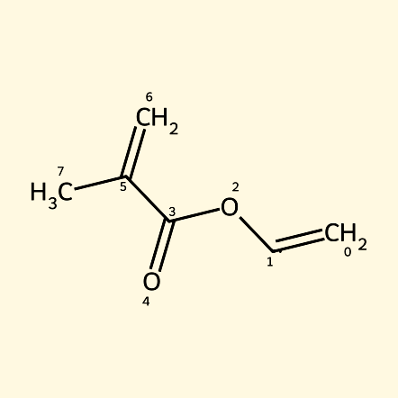 C=[C]OC(=O)C(=C)C